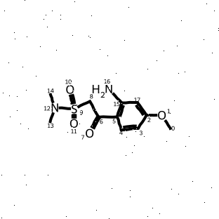 COc1ccc(C(=O)CS(=O)(=O)N(C)C)c(N)c1